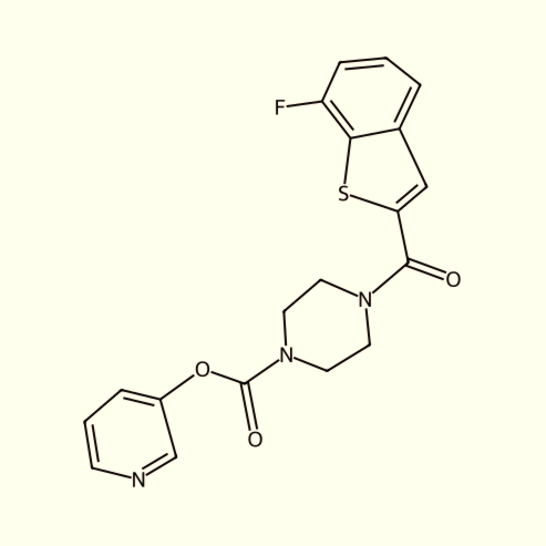 O=C(Oc1cccnc1)N1CCN(C(=O)c2cc3cccc(F)c3s2)CC1